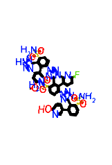 COc1ccc(-c2c(-n3nnc(-c4c(S(N)(=O)=O)ccc(-n5nnc(-c6c(-c7ccc(O)nc7)cccc6S(N)(=O)=O)n5)c4-c4ccc(F)nc4C)n3)ccc(S(N)(=O)=O)c2-c2nn[nH]n2)cn1